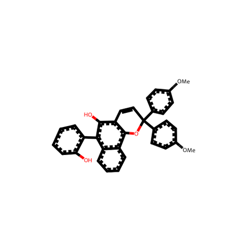 COc1ccc(C2(c3ccc(OC)cc3)C=Cc3c(O)c(-c4ccccc4O)c4ccccc4c3O2)cc1